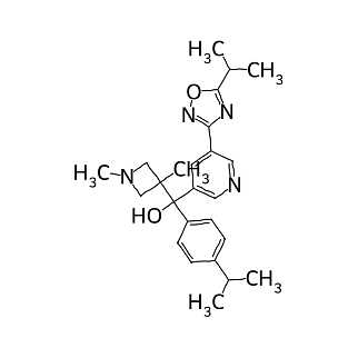 CC(C)c1ccc(C(O)(c2cncc(-c3noc(C(C)C)n3)c2)C2(C)CN(C)C2)cc1